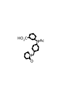 CC(=O)N(c1ccc(Cn2ccccc2=O)cc1)c1cccc(C(=O)O)c1